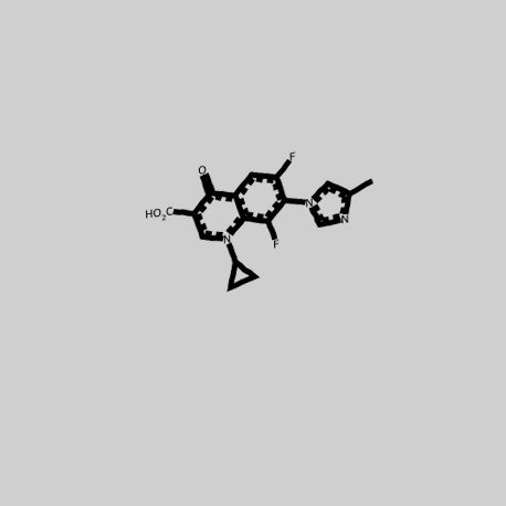 Cc1cn(-c2c(F)cc3c(=O)c(C(=O)O)cn(C4CC4)c3c2F)cn1